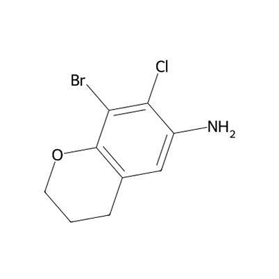 Nc1cc2c(c(Br)c1Cl)OCCC2